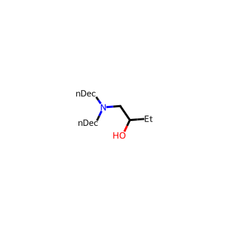 CCCCCCCCCCN(CCCCCCCCCC)CC(O)CC